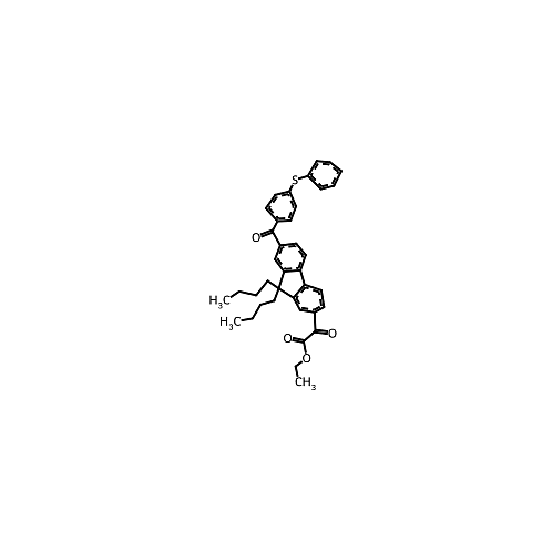 CCCCC1(CCCC)c2cc(C(=O)C(=O)OCC)ccc2-c2ccc(C(=O)c3ccc(Sc4ccccc4)cc3)cc21